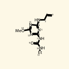 C=CCNc1nc(NC(=O)NCC)nc(OC)n1